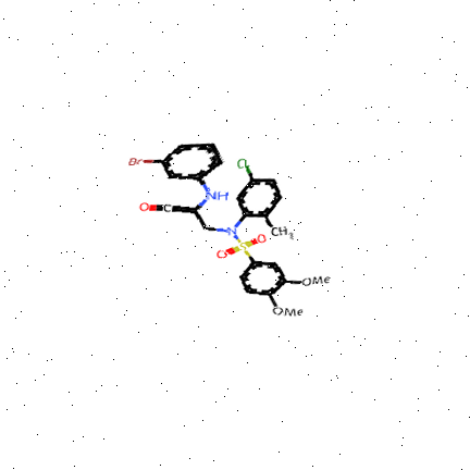 COc1ccc(S(=O)(=O)N(CC(=C=O)Nc2cccc(Br)c2)c2cc(Cl)ccc2C)cc1OC